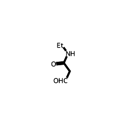 [CH2]CNC(=O)CC=O